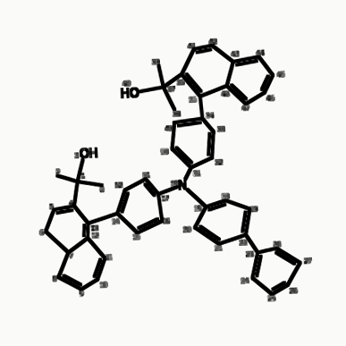 CC(C)(O)C1=CCC2C=CC=CC2=C1c1ccc(N(c2ccc(-c3ccccc3)cc2)c2ccc(-c3c(C(C)(C)O)ccc4ccccc34)cc2)cc1